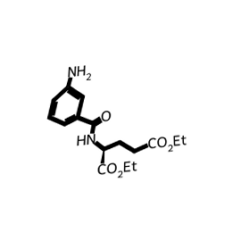 CCOC(=O)CC[C@H](NC(=O)c1cccc(N)c1)C(=O)OCC